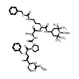 CON1C(C)(C)CC(NC(=O)[C@H](CCCNC(=O)OCc2ccccc2)NC(=O)[C@@H](NC(=O)[C@@H]2CCCN2C(=O)[C@H](/C=C(\F)[C@H](CC(C)C)NC(=O)OC(C)(C)C)Cc2ccccc2)C(C)C)CC1(C)C